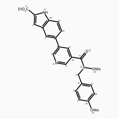 CCOC(=O)c1cc2cc(-c3cncc(C(=O)N(Cc4ccc(OC)cc4)OC)c3)ccc2[nH]1